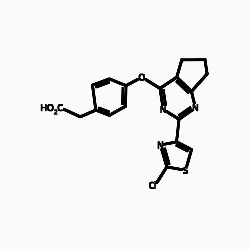 O=C(O)Cc1ccc(Oc2nc(-c3csc(Cl)n3)nc3c2CCC3)cc1